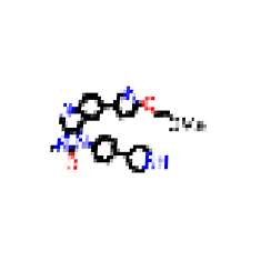 COCCOc1ccc(-c2ccc3ncc4c(c3c2)n(-c2ccc(C3CCNCC3)cc2)c(=O)n4C)cn1